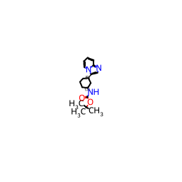 CC(C)(C)OC(=O)N[C@H]1CCC[C@@H](c2cnc3ccccn23)C1